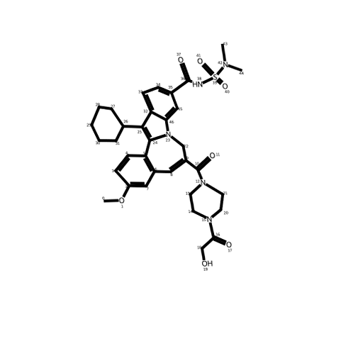 COc1ccc2c(c1)C=C(C(=O)N1CCN(C(=O)CO)CC1)Cn1c-2c(C2CCCCC2)c2ccc(C(=O)NS(=O)(=O)N(C)C)cc21